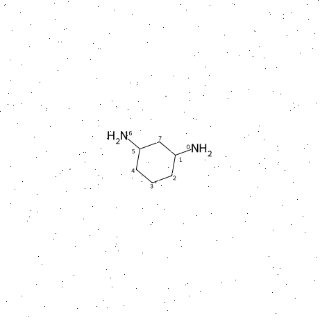 NC1C[CH]CC(N)C1